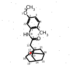 COc1ccc(C)c(NC(=O)CC23CC4CC(CC(C4)O2)C3)c1